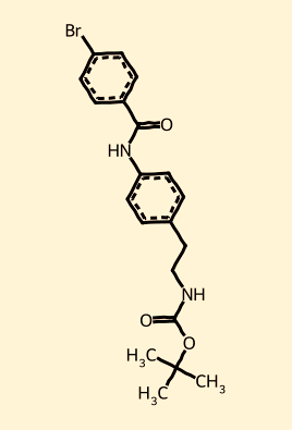 CC(C)(C)OC(=O)NCCc1ccc(NC(=O)c2ccc(Br)cc2)cc1